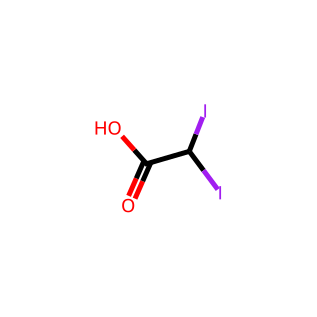 O=C(O)C(I)I